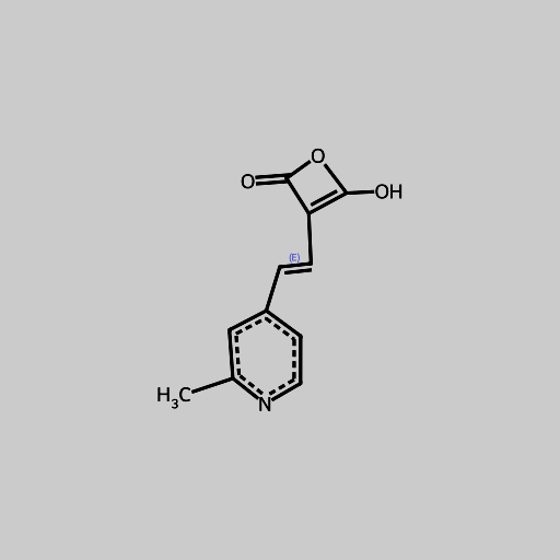 Cc1cc(/C=C/C2=C(O)OC2=O)ccn1